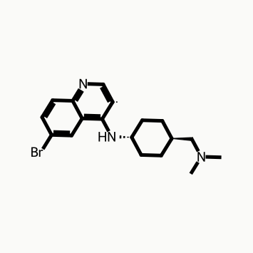 CN(C)C[C@H]1CC[C@H](Nc2[c]cnc3ccc(Br)cc23)CC1